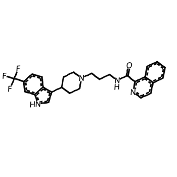 O=C(NCCCN1CCC(c2c[nH]c3cc(C(F)(F)F)ccc23)CC1)c1nccc2ccccc12